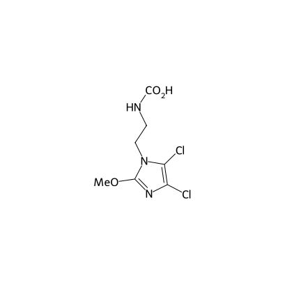 COc1nc(Cl)c(Cl)n1CCNC(=O)O